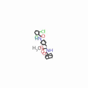 COC(=O)[C@H](Cc1ccc(NC(=O)c2c(Cl)cccc2Cl)cc1)NC(=O)C12CC3CC(CC(C3)C1)C2